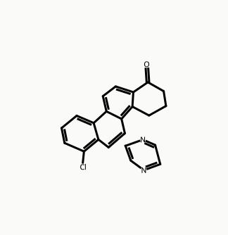 O=C1CCCc2c1ccc1c2ccc2c(Cl)cccc21.c1cnccn1